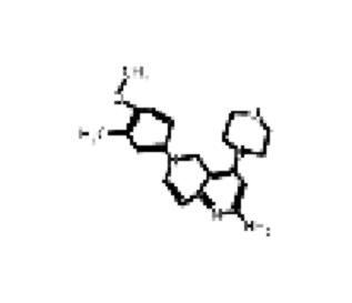 COc1ccc(N2C=Cc3nc(N)cc(N4CCOCC4)c3C2)cc1C